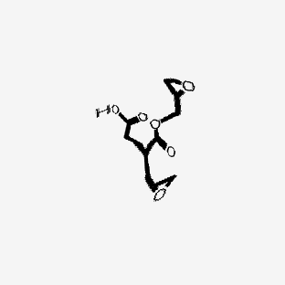 O=C(O)CC(CC1CO1)C(=O)OCC1CO1